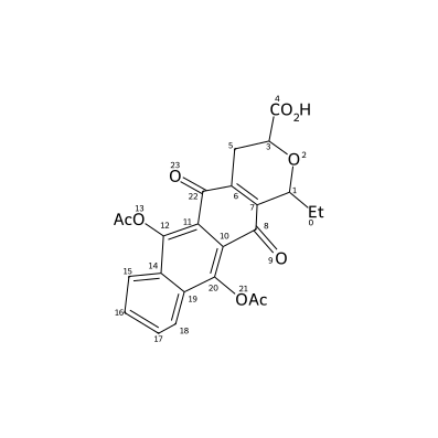 CCC1OC(C(=O)O)CC2=C1C(=O)c1c(c(OC(C)=O)c3ccccc3c1OC(C)=O)C2=O